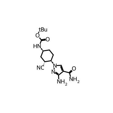 CC(C)(C)OC(=O)N[C@H]1CC[C@@H](n2cc(C(N)=O)c(N)n2)[C@H](C#N)C1